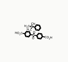 C[N+](C)(C)c1ccccc1.O=C(O)c1ccc(S(=O)(=O)c2ccc(C(=O)O)cc2)cc1